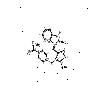 CCCc1ncc(C=C2C(=O)N(C)c3ccccc32)n1Cc1ccc(C(=O)OC)cc1